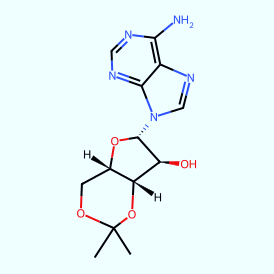 CC1(C)OC[C@@H]2O[C@H](n3cnc4c(N)ncnc43)[C@@H](O)[C@@H]2O1